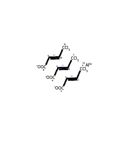 O=C([O-])/C=C/C(Cl)(Cl)Cl.O=C([O-])/C=C/C(Cl)(Cl)Cl.O=C([O-])/C=C/C(Cl)(Cl)Cl.[Al+3]